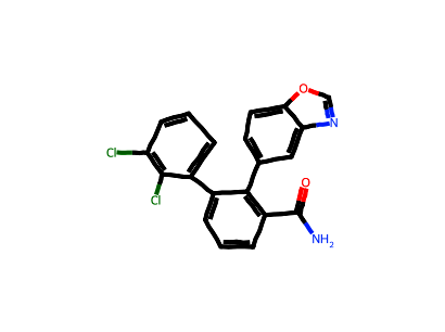 NC(=O)c1cccc(-c2cccc(Cl)c2Cl)c1-c1ccc2ocnc2c1